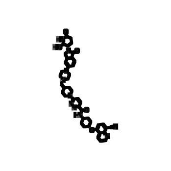 N#Cc1ccc(O[C@H]2CC[C@H](NC(=O)c3ccc(N4CCC(CN5CCN(c6ccc7c(c6)CN([C@H]6CCC(=O)NC6O)C7=O)CC5)CC4)nn3)CC2)c2cccnc12